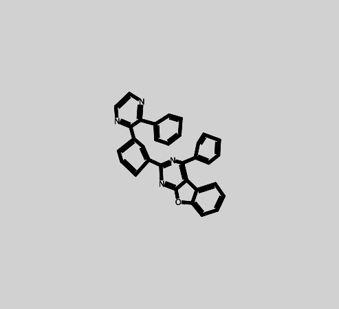 c1ccc(-c2nccnc2-c2cccc(-c3nc(-c4ccccc4)c4c(n3)oc3ccccc34)c2)cc1